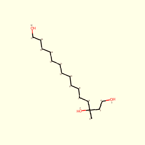 CC(O)(CCO)CCCCCCCCCCCCO